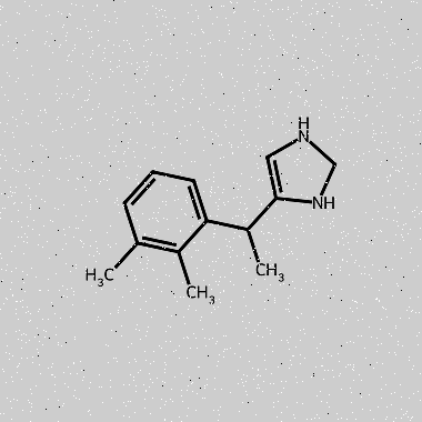 Cc1cccc(C(C)C2=CNCN2)c1C